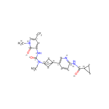 CN(C(=O)Nc1cc(C(F)(F)F)cn(C)c1=O)C12CC(c3ccc(NC(=O)C4CC4)nc3)(C1)C2